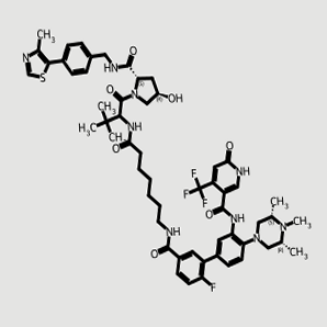 Cc1ncsc1-c1ccc(CNC(=O)[C@@H]2C[C@@H](O)CN2C(=O)C(NC(=O)CCCCCCNC(=O)c2ccc(F)c(-c3ccc(N4C[C@@H](C)N(C)[C@@H](C)C4)c(NC(=O)c4c[nH]c(=O)cc4C(F)(F)F)c3)c2)C(C)(C)C)cc1